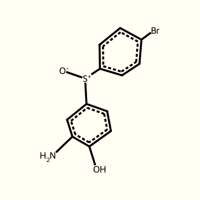 Nc1cc([S+]([O-])c2ccc(Br)cc2)ccc1O